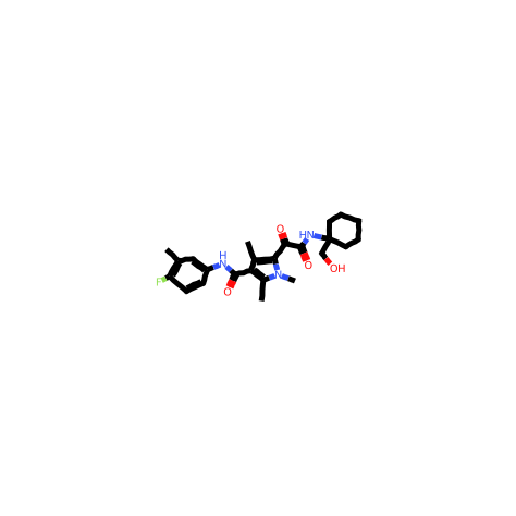 Cc1cc(NC(=O)c2c(C)c(C(=O)C(=O)NC3(CO)CCCCC3)n(C)c2C)ccc1F